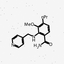 CCCc1ccc(C(N)=O)c(NCc2ccncc2)c1OC